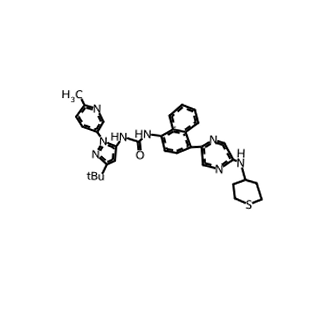 Cc1ccc(-n2nc(C(C)(C)C)cc2NC(=O)Nc2ccc(-c3cnc(NC4CCSCC4)cn3)c3ccccc23)cn1